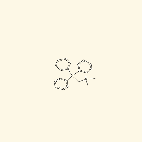 C[B-](C)(C)CC(c1ccccc1)(c1ccccc1)c1ccccc1